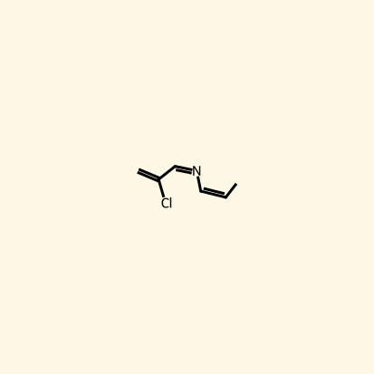 C=C(Cl)/C=N\C=C/C